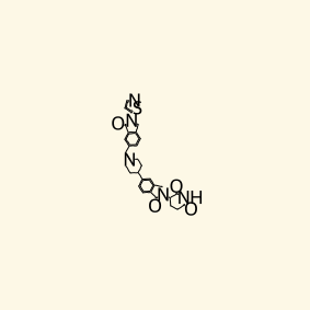 O=C1CCC(N2Cc3cc(C4CCN(Cc5ccc6c(c5)C(=O)N(c5ccns5)C6)CC4)ccc3C2=O)C(=O)N1